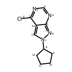 Clc1ncnc2nn(C3CCCC3)cc12